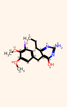 CCCc1nc(N)nc(O)c1Cc1cc(I)c(OC)c(OC)c1